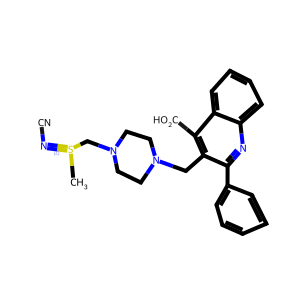 C/S(CN1CCN(Cc2c(-c3ccccc3)nc3ccccc3c2C(=O)O)CC1)=N/C#N